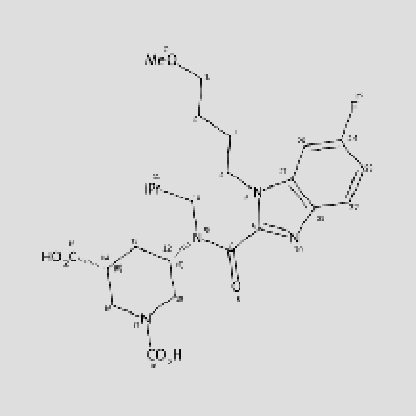 COCCCCn1c(C(=O)N(CC(C)C)[C@H]2C[C@@H](C(=O)O)CN(C(=O)O)C2)nc2ccc(F)cc21